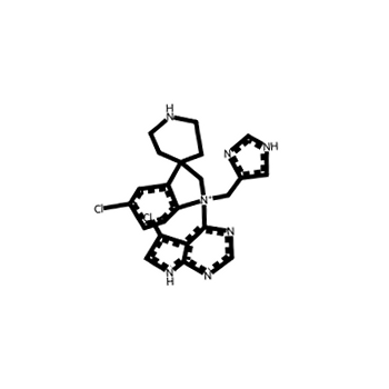 Clc1ccc2c(c1)C1(CCNCC1)C[N+]2(Cc1c[nH]cn1)c1ncnc2[nH]cc(Cl)c12